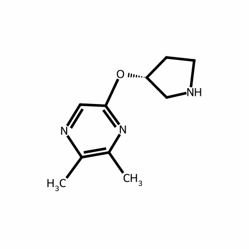 Cc1ncc(O[C@@H]2CCNC2)nc1C